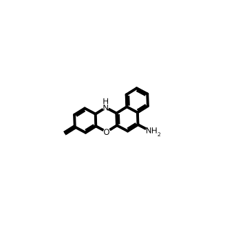 C=C1C=CC2Nc3c(cc(N)c4ccccc34)OC2=C1